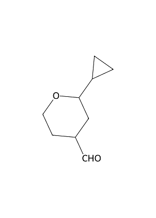 O=CC1CCOC(C2CC2)C1